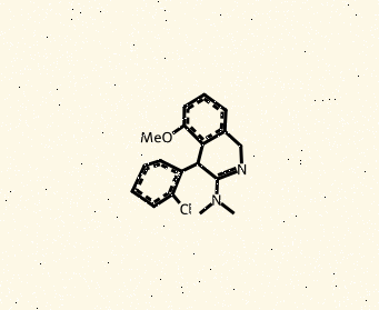 COc1cccc2c1C(c1ccccc1Cl)C(N(C)C)=NC2